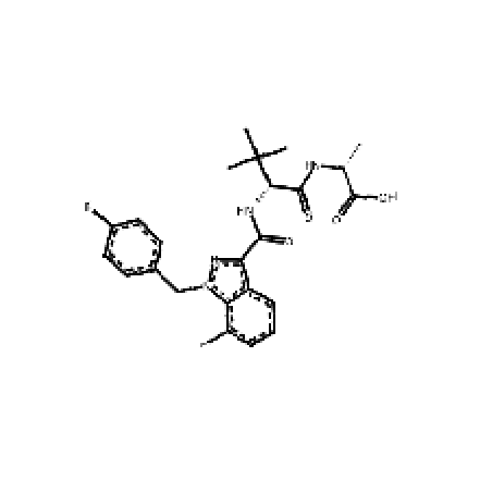 C[C@@H](NC(=O)[C@H](NC(=O)c1nn(Cc2ccc(F)cc2)c2c(F)cccc12)C(C)(C)C)C(=O)O